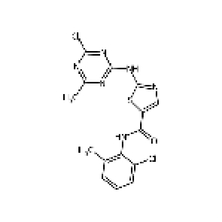 Cc1nc(Cl)nc(Nc2ncc(C(=O)Nc3c(C)cccc3Cl)s2)n1